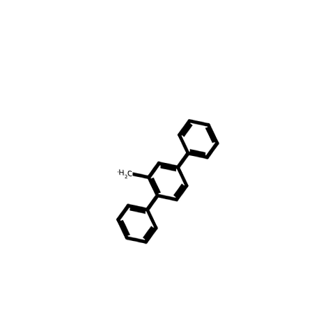 [CH2]c1cc(-c2ccccc2)ccc1-c1ccccc1